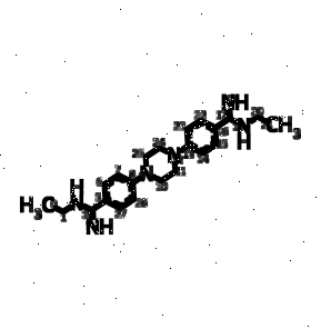 CCNC(=N)c1ccc(N2CCN(c3ccc(C(=N)NCC)cc3)CC2)cc1